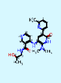 Cc1cccc(-c2cc(Nc3ccncc3C(=O)NCC(C)O)c(N(C)C)[nH]c2=O)n1